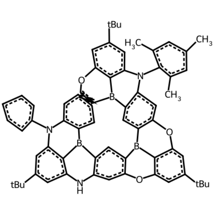 Cc1cc(C)c(N2c3cc4c(cc3B3c5ccccc5Oc5cc(C(C)(C)C)cc2c53)B2c3cc5c(cc3Oc3cc(C(C)(C)C)cc(c32)O4)Nc2cc(C(C)(C)C)cc3c2B5c2ccccc2N3c2ccccc2)c(C)c1